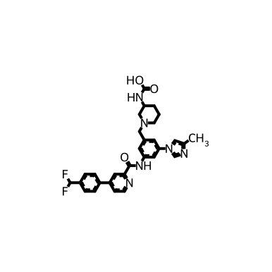 Cc1cn(-c2cc(CN3CCCC(NC(=O)O)C3)cc(NC(=O)c3cc(-c4ccc(C(F)F)cc4)ccn3)c2)cn1